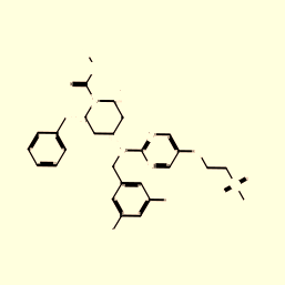 CC[C@@H]1C[C@H](N(Cc2cc(Cl)cc(C(F)(F)F)c2)c2ncc(OCCS(C)(=O)=O)cn2)C[C@H](Cc2ccccc2)N1C(=O)OC(C)C